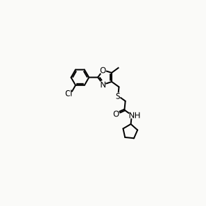 Cc1oc(-c2cccc(Cl)c2)nc1CSCC(=O)NC1CCCC1